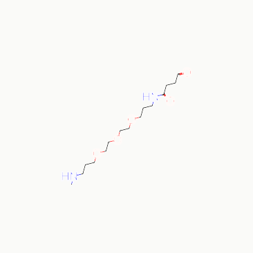 CNCCCOCCOCCOCCCNC(=O)CCC=O